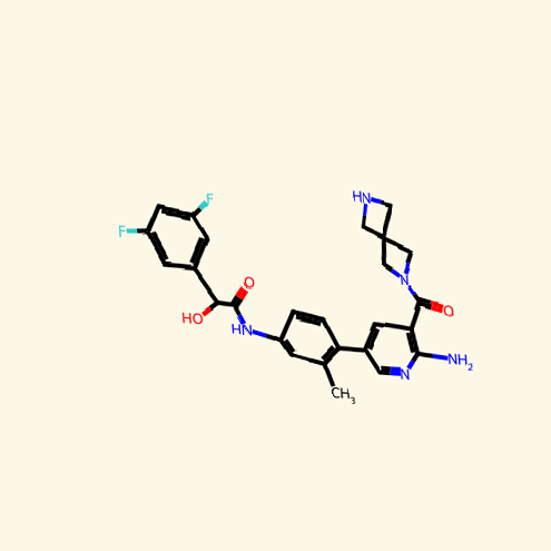 Cc1cc(NC(=O)C(O)c2cc(F)cc(F)c2)ccc1-c1cnc(N)c(C(=O)N2CC3(CNC3)C2)c1